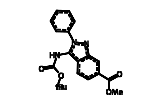 COC(=O)c1ccc2c(NC(=O)OC(C)(C)C)n(-c3ccccc3)nc2c1